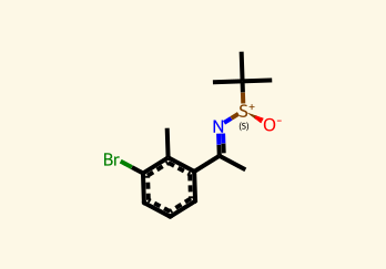 CC(=N[S@+]([O-])C(C)(C)C)c1cccc(Br)c1C